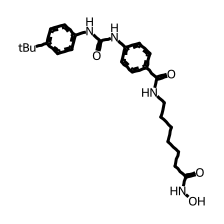 CC(C)(C)c1ccc(NC(=O)Nc2ccc(C(=O)NCCCCCCC(=O)NO)cc2)cc1